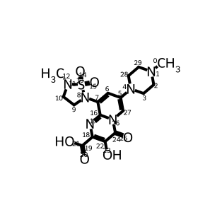 CN1CCN(c2cc(N3CCN(C)S3(=O)=O)c3nc(C(=O)O)c(O)c(=O)n3c2)CC1